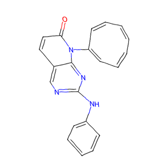 O=c1ccc2cnc(Nc3ccccc3)nc2n1C1=CC=CC=CC=C1